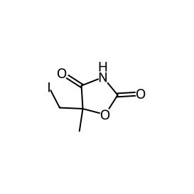 CC1(CI)OC(=O)NC1=O